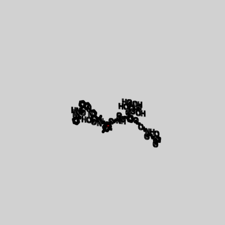 Cc1c(-c2ccc(N3CCc4cccc(C(=O)Nc5nc6ccccc6s5)c4C3)nc2C(=O)O)cnn1CC12CC3(C)CC(C)(C1)CC(OCCNC(=O)OCc1ccc(OCCOCCNC(=O)CCN4C(=O)C=CC4=O)cc1O[C@@H]1O[C@H](C(=O)O)[C@@H](O)[C@H](O)[C@H]1O)(C3)C2